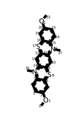 COc1ccc2c(c1)sc1cc3c(cc1n2C)sc1cc(OC)ccc1n3C